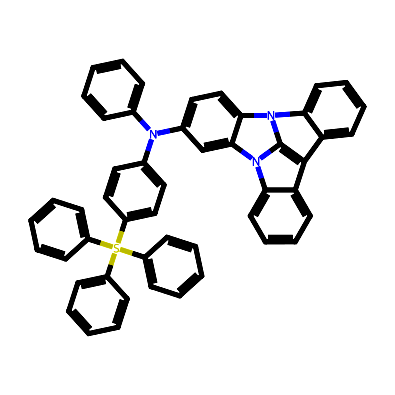 c1ccc(N(c2ccc(S(c3ccccc3)(c3ccccc3)c3ccccc3)cc2)c2ccc3c(c2)n2c4ccccc4c4c5ccccc5n3c42)cc1